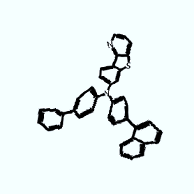 c1ccc(-c2ccc(N(c3ccc(-c4cccc5ccccc45)cc3)c3ccc4c(c3)sc3cccnc34)cc2)cc1